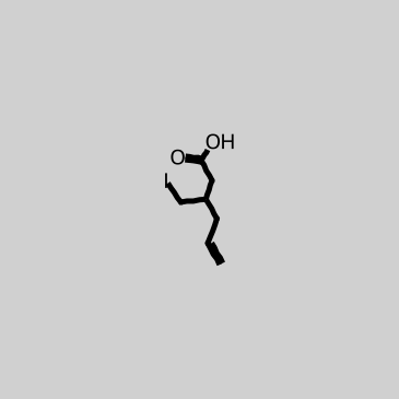 C=CCC(CI)CC(=O)O